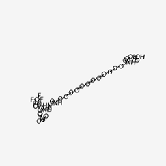 O=C(O)CC[C@H](NC(=O)CCOCCOCCOCCOCCOCCOCCOCCOCCOCCOCCOCCOCCNC(=O)CNC(=O)CNC(=O)c1cc(N2C(=O)C=CC2=O)ccc1CCC(=O)Oc1c(F)c(F)cc(F)c1F)C(=O)O